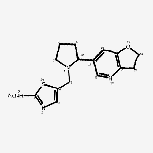 CC(=O)Nc1ncc(CN2CCCC2c2cnc3c(c2)OCC3)s1